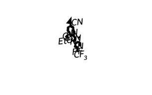 CCS(=O)(=O)c1c(-c2nc3cc(C(F)(F)C(F)(F)F)ncc3n2C)nc2cc(C3(C#N)CC3)ccn12